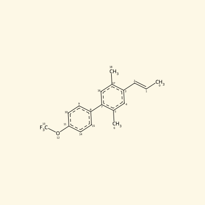 C/C=C/c1cc(C)c(-c2ccc(OC(F)(F)F)cc2)cc1C